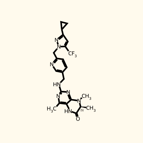 Cc1nc(NCc2ccc(Cn3nc(C4CC4)cc3C(F)(F)F)nc2)nc2c1NC(=O)[C@H](C)N2C